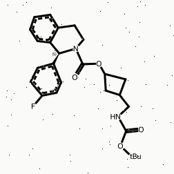 CC(C)(C)OC(=O)NCC1CC(OC(=O)N2CCc3ccccc3[C@@H]2c2ccc(F)cc2)C1